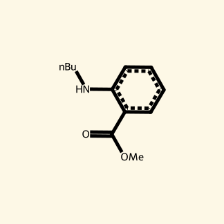 CCCCNc1ccccc1C(=O)OC